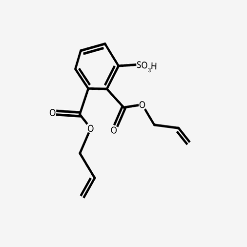 C=CCOC(=O)c1cccc(S(=O)(=O)O)c1C(=O)OCC=C